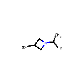 CC(C)C(C)N1CC(C(C)(C)C)C1